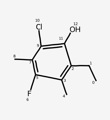 CCc1c(C)c(F)c(C)c(Cl)c1O